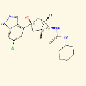 O=C(NC1CCCCC1)N[C@H]1[C@@H]2C[C@](O)(c3cc(Cl)cc4[nH]ncc34)C[C@@H]21